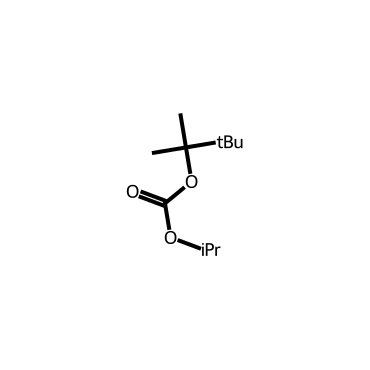 CC(C)OC(=O)OC(C)(C)C(C)(C)C